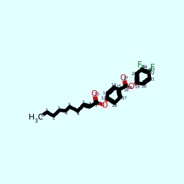 CCCCCCCC=CC(=O)Oc1ccc(C(=O)Oc2ccc(F)c(F)c2)cc1